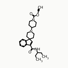 C#COC(=O)N1CCC(N2CCC3(C=C(C(=O)NC(CC)CC)c4ccccc43)CC2)CC1